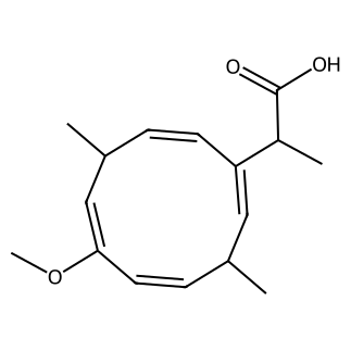 COC1=C/C(C)/C=C\C(C(C)C(=O)O)=C/C(C)/C=C\1